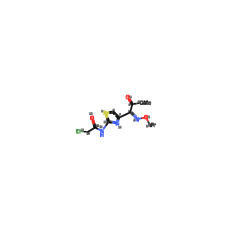 CCCO/N=C(\C(=O)OC)c1csc(NC(=O)CCl)n1